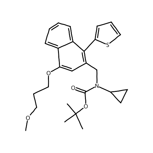 COCCCOc1cc(CN(C(=O)OC(C)(C)C)C2CC2)c(-c2cccs2)c2ccccc12